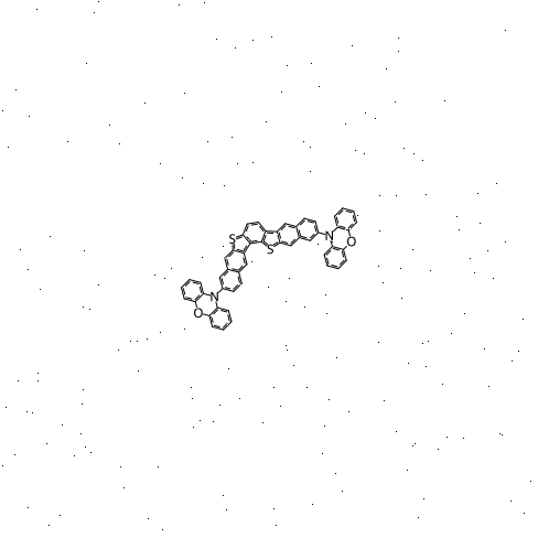 c1ccc2c(c1)Oc1ccccc1N2c1ccc2cc3c(cc2c1)sc1c3ccc2sc3cc4cc(N5c6ccccc6Oc6ccccc65)ccc4cc3c21